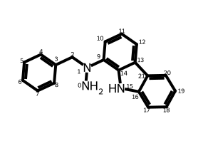 NN(Cc1ccccc1)c1cccc2c1[nH]c1ccccc12